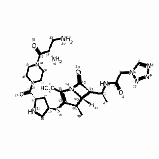 C[C@H](NC(=O)Cn1cnnn1)[C@@H]1C(=O)N2C(C(=O)O)=C(S[C@H]3CN[C@H](C(=O)N4CCN(C(=O)[C@@H](N)CN)CC4)C3)[C@H](C)[C@@H]12